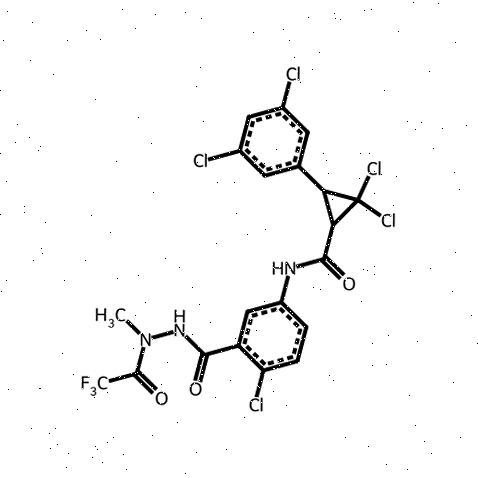 CN(NC(=O)c1cc(NC(=O)C2C(c3cc(Cl)cc(Cl)c3)C2(Cl)Cl)ccc1Cl)C(=O)C(F)(F)F